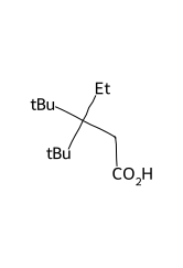 CCC(CC(=O)O)(C(C)(C)C)C(C)(C)C